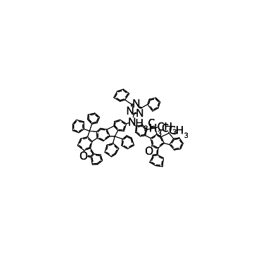 CC1(C)c2cc(N(c3ccc4c(c3)C(c3ccccc3)(c3ccccc3)c3cc5c(cc3-4)C(c3ccccc3)(c3ccccc3)c3ccc4oc6ccccc6c4c3-5)c3nc(-c4ccccc4)nc(-c4ccccc4)n3)ccc2-c2c1c1c(c3c2oc2ccccc23)-c2ccccc2C1(C)C